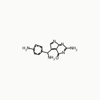 NC1=NC(=O)C2=C(C(N)c3ccc(N)cc3)C=NC2=N1